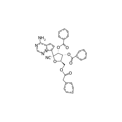 N#C[C@@]1(c2ccc3c(N)ncnn23)O[C@H](COC(=O)Cc2ccccc2)[C@@H](OC(=O)c2ccccc2)[C@H]1OC(=O)c1ccccc1